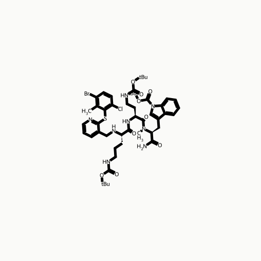 Cc1c(Br)ccc(Cl)c1Sc1ncccc1CN[C@@H](CCCNC(=O)OC(C)(C)C)C(=O)N[C@@H](CCNC(=O)OC(C)(C)C)C(=O)N(C)[C@@H](Cc1cn(C(=O)OC(C)(C)C)c2ccccc12)C(N)=O